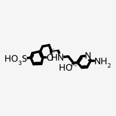 Nc1ccc([C@@H](O)CNC[C@@H]2CCc3cc(S(=O)(=O)O)ccc3O2)cn1